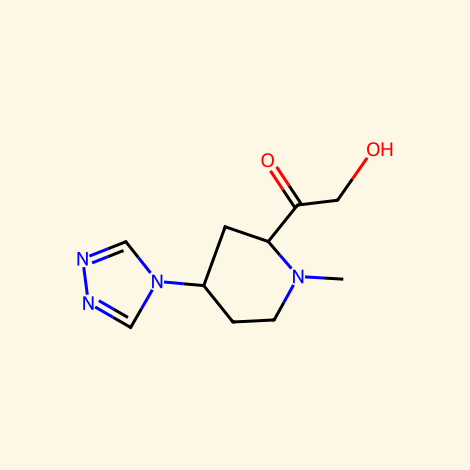 CN1CCC(n2cnnc2)CC1C(=O)CO